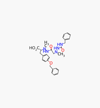 CN(CC(=O)NN(C)C(Cc1ccc(OCc2ccccc2)cc1)C(=O)O)NC(=O)NCc1ccccc1